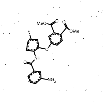 COC(=O)c1ccc(Oc2cc(F)ccc2NC(=O)c2cccc([N+](=O)[O-])c2)cc1C(=O)OC